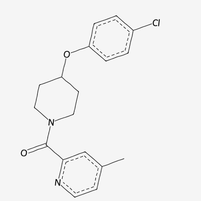 Cc1ccnc(C(=O)N2CCC(Oc3ccc(Cl)cc3)CC2)c1